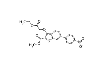 CCOC(=O)COc1c(C(=O)OC)sc2cc(-c3ccc([N+](=O)[O-])cc3)ccc12